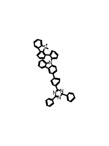 C[Si]1(C)c2ccccc2-c2cccc(-c3ccccc3-n3c4ccccc4c4cc(-c5ccc(-c6nc(-c7ccccc7)nc(-c7ccccc7)n6)cc5)ccc43)c21